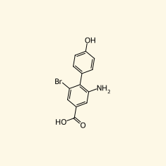 Nc1cc(C(=O)O)cc(Br)c1-c1ccc(O)cc1